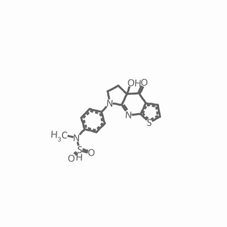 CN(c1ccc(N2CCC3(O)C(=O)c4ccsc4N=C23)cc1)[SH](=O)=O